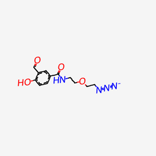 [N-]=[N+]=NCCOCCNC(=O)c1ccc(O)c(C=O)c1